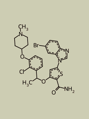 CC(Oc1cc(-n2cnc3ccc(Br)cc32)sc1C(N)=O)c1cccc(OC2CCN(C)CC2)c1Cl